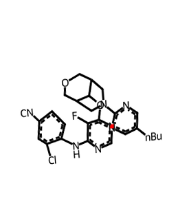 [C-]#[N+]c1ccc(Nc2ncnc(OC3C4COCC3CN(c3ncc(CCCC)cn3)C4)c2F)c(Cl)c1